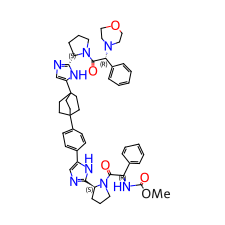 COC(=O)N[C@@H](C(=O)N1CCC[C@H]1c1ncc(-c2ccc(C34CCC(c5cnc([C@@H]6CCCN6C(=O)[C@@H](c6ccccc6)N6CCOCC6)[nH]5)(CC3)CC4)cc2)[nH]1)c1ccccc1